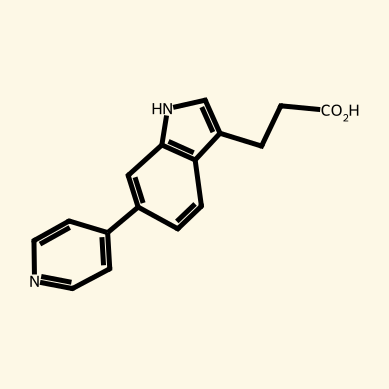 O=C(O)CCc1c[nH]c2cc(-c3ccncc3)ccc12